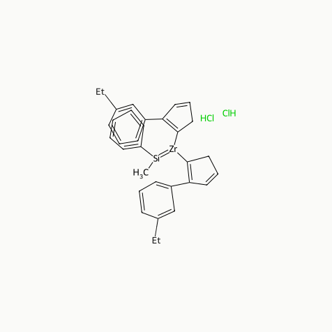 CCc1cccc(C2=[C]([Zr]([C]3=C(c4cccc(CC)c4)C=CC3)=[Si](C)c3ccccc3)CC=C2)c1.Cl.Cl